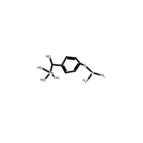 OC(c1ccc(OP(P)P)cc1)[PH](O)(O)O